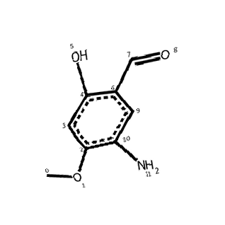 COc1cc(O)c(C=O)cc1N